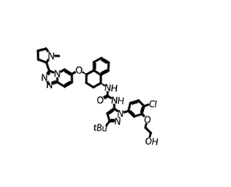 CN1CCCC1c1nnc2ccc(O[C@@H]3CC[C@H](NC(=O)Nc4cc(C(C)(C)C)nn4-c4ccc(Cl)c(OCCO)c4)c4ccccc43)cn12